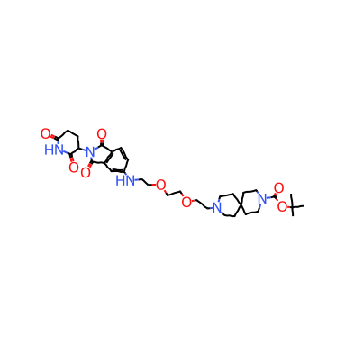 CC(C)(C)OC(=O)N1CCC2(CCN(CCOCCOCCNc3ccc4c(c3)C(=O)N(C3CCC(=O)NC3=O)C4=O)CC2)CC1